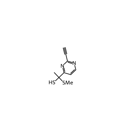 C#Cc1nccc(C(C)(S)SC)n1